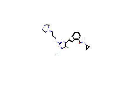 Cl.Cl.Cl.O=C(NC1CC1)c1cccc2sc(-c3nc(NCCCN4CCNCC4)ncc3Cl)cc12